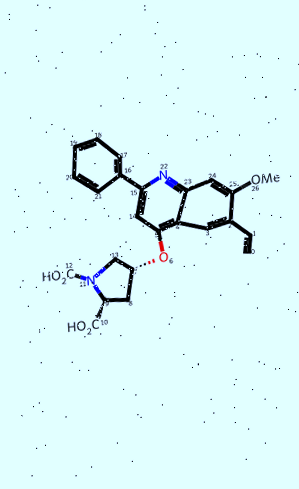 C=Cc1cc2c(O[C@@H]3C[C@@H](C(=O)O)N(C(=O)O)C3)cc(-c3ccccc3)nc2cc1OC